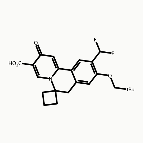 CC(C)(C)COc1cc2c(cc1C(F)F)-c1cc(=O)c(C(=O)O)cn1C1(CCC1)C2